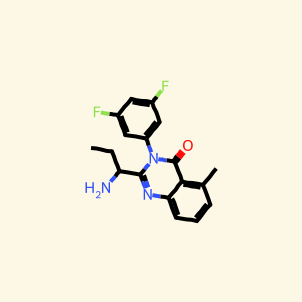 CCC(N)c1nc2cccc(C)c2c(=O)n1-c1cc(F)cc(F)c1